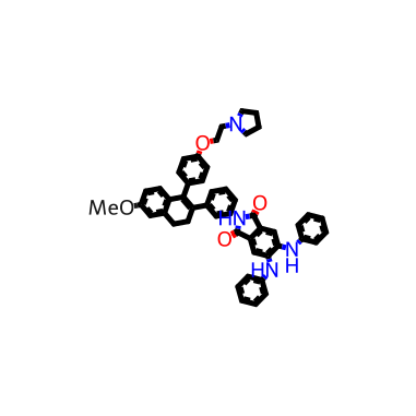 COc1ccc2c(c1)CCC(c1ccccc1)=C2c1ccc(OCCN2CCCC2)cc1.O=C1NC(=O)c2cc(Nc3ccccc3)c(Nc3ccccc3)cc21